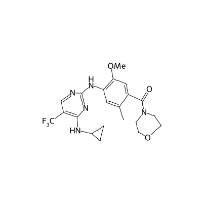 COc1cc(C(=O)N2CCOCC2)c(C)cc1Nc1ncc(C(F)(F)F)c(NC2CC2)n1